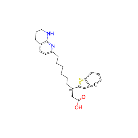 O=C(O)C[C@@H](CCCCCCc1ccc2c(n1)NCCC2)c1cc2ccccc2s1